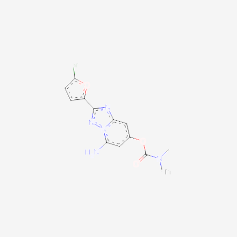 CCCN(C)C(=O)Oc1cc(N)n2nc(-c3ccc(Br)o3)nc2c1